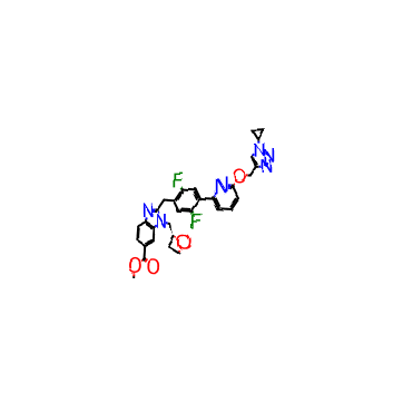 COC(=O)c1ccc2nc(Cc3cc(F)c(-c4cccc(OCc5cn(C6CC6)nn5)n4)cc3F)n(C[C@@H]3CCO3)c2c1